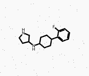 Fc1ccccc1C1CCC(NC2CCNC2)CC1